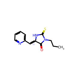 CCCN1C(=O)/C(=C/c2ccccn2)NC1=S